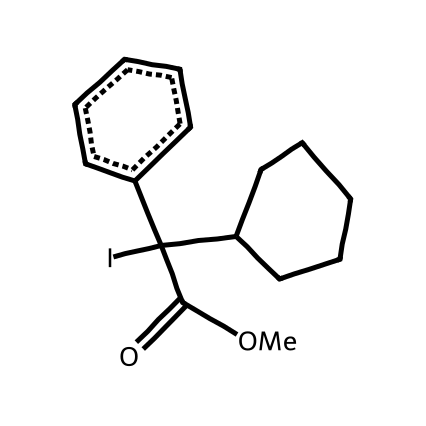 COC(=O)C(I)(c1ccccc1)C1CCCCC1